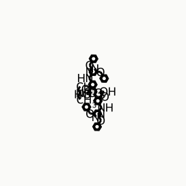 CCNCC.O=S(=O)(O)c1cc(Nc2cc(Oc3ccccc3)nc(Oc3ccccc3)n2)ccc1C=Cc1ccc(Nc2cc(Oc3ccccc3)nc(Oc3ccccc3)n2)cc1S(=O)(=O)O